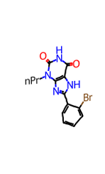 CCCn1c(=O)[nH]c(=O)c2[nH]c(-c3ccccc3Br)nc21